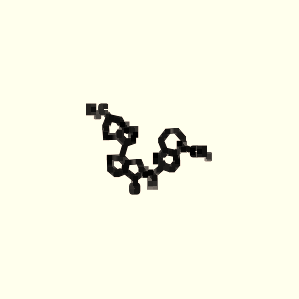 Cc1ccc2c(-c3cccc4c3CN(Nc3ccc5c(n3)CCCCN5C)C4=O)cnn2c1